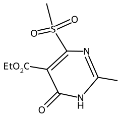 CCOC(=O)c1c(S(C)(=O)=O)nc(C)[nH]c1=O